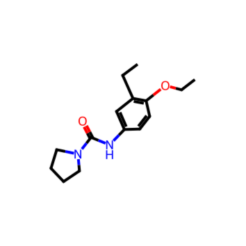 CCOc1ccc(NC(=O)N2CCCC2)cc1CC